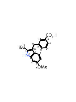 CCC(C)c1[nH]c2cc(OC)ccc2c1Cc1cccc(C(=O)O)c1